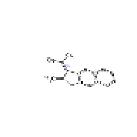 [C-]#[N+]/C(C#N)=C1\C(=C)Cc2cc3ccccc3cc21